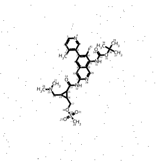 Cc1ccncc1-c1cc2cc(NC(=O)C3C(COS(C)(=O)=O)C3CN(C)C)ncc2c(NC(=O)OC(C)(C)C)c1F